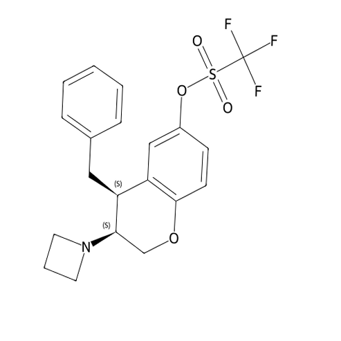 O=S(=O)(Oc1ccc2c(c1)[C@H](Cc1ccccc1)[C@H](N1CCC1)CO2)C(F)(F)F